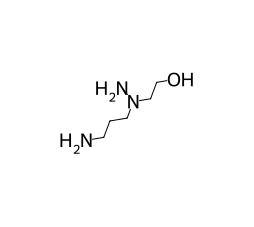 NCCCN(N)CCO